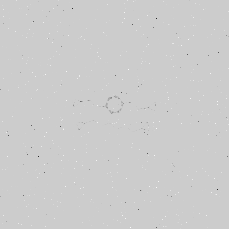 C(COCC1CO1)OCC1CO1.c1cc(OCC2CO2)ccc1OCC1CO1